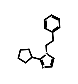 c1ccc(CCn2ccnc2C2CCCC2)cc1